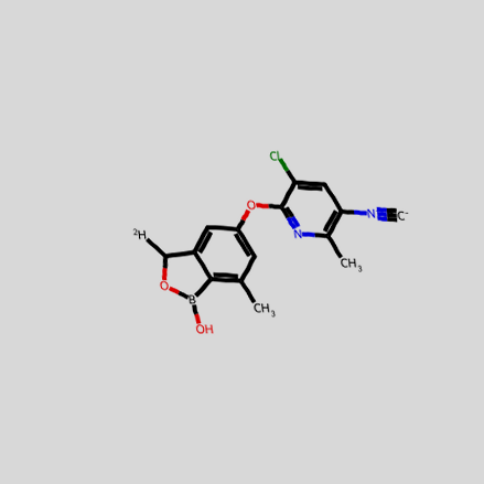 [2H]C1OB(O)c2c(C)cc(Oc3nc(C)c([N+]#[C-])cc3Cl)cc21